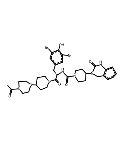 CC(=O)N1CCN(C2CCN(C(=O)[C@@H](Cc3cc(Br)c(O)c(Br)c3)NC(=O)N3CCC(N4Cc5ccccc5NC4=O)CC3)CC2)CC1